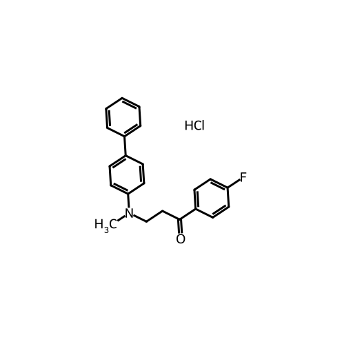 CN(CCC(=O)c1ccc(F)cc1)c1ccc(-c2ccccc2)cc1.Cl